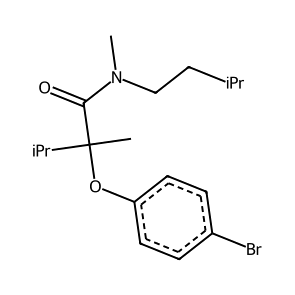 CC(C)CCN(C)C(=O)C(C)(Oc1ccc(Br)cc1)C(C)C